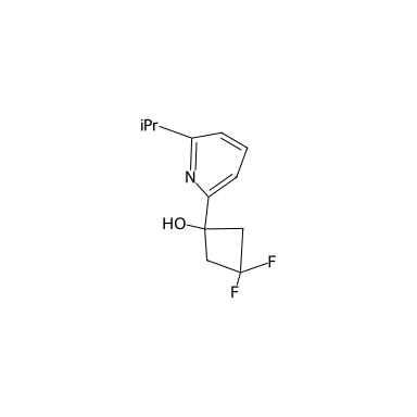 CC(C)c1cccc(C2(O)CC(F)(F)C2)n1